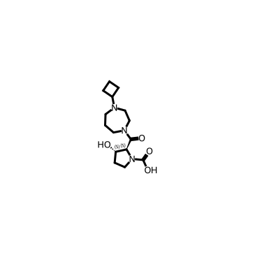 O=C([C@@H]1[C@@H](O)CCN1C(=O)O)N1CCCN(C2CCC2)CC1